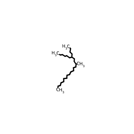 CCCCCCCCCCCCCC(C)CCC(CCCC)CCCCCC